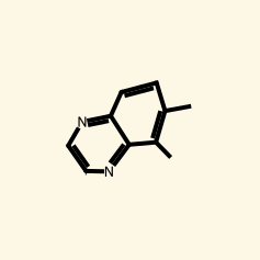 Cc1ccc2nc[c]nc2c1C